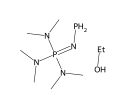 CCO.CN(C)P(=NP)(N(C)C)N(C)C